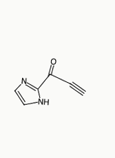 C#CC(=O)c1ncc[nH]1